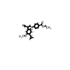 CCOC(=O)c1ccc(-n2cc(C#N)c3cc(OC)c(C4CC4)cc32)cc1